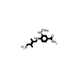 CONc1cc(C(N)=O)ccc1NC/C(C)=C(\C)CN